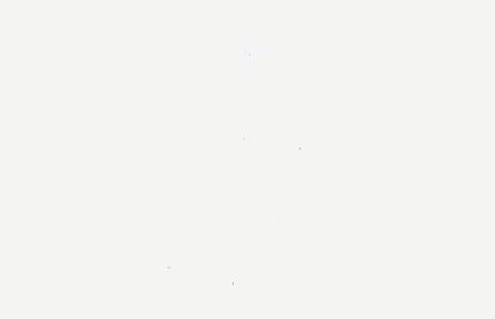 CN(C)C=CC(=O)c1cccc(Sc2ccccc2)c1